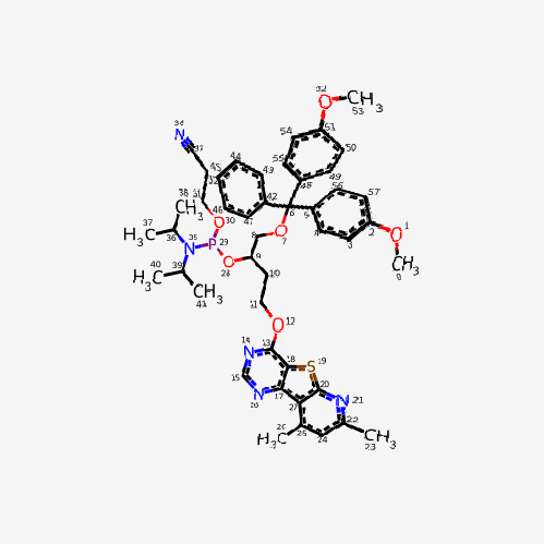 COc1ccc(C(OCC(CCOc2ncnc3c2sc2nc(C)cc(C)c23)OP(OCCC#N)N(C(C)C)C(C)C)(c2ccccc2)c2ccc(OC)cc2)cc1